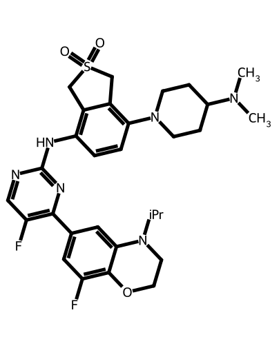 CC(C)N1CCOc2c(F)cc(-c3nc(Nc4ccc(N5CCC(N(C)C)CC5)c5c4CS(=O)(=O)C5)ncc3F)cc21